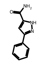 NC(=O)c1cc(-c2ccccc2)n[nH]1